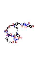 COc1ccc(C[C@H](NC=O)C(=O)N2CCC[C@@]2(C)C(=O)NCCc2ccc(CN3CCCCCCn4cc(c5cc(F)ccc54)C[C@@H]4NC(=O)[C@H](Cc5cccc(c5)C/C=C/CO[C@H]5CCN(C4=O)C5C(=O)NC[C@@H](C)O)NC(=O)CNC(=O)CCOCCC3=O)cc2)cc1